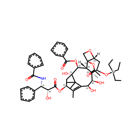 CC[Si](CC)(CC)OC1C[C@H]2OC[C@@]2(OC(C)=O)[C@H]2[C@H](OC(=O)c3ccccc3)[C@]3(O)C[C@H](OC(=O)[C@H](O)[C@@H](NC(=O)c4ccccc4)c4ccccc4)C(C)=C([C@H](O)[C@H](O)[C@]12C)C3(C)C